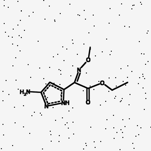 CCOC(=O)C(=NOC)c1cc(N)n[nH]1